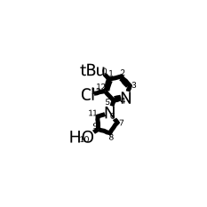 CC(C)(C)c1ccnc(N2CCC(O)C2)c1Cl